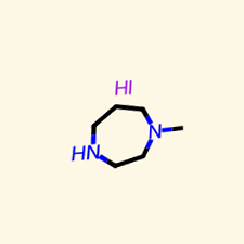 CN1CCCNCC1.I